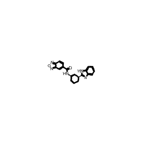 O=C(N[C@@H]1CCC[C@H](c2nc3ccccc3[nH]2)C1)c1ccc2nonc2c1